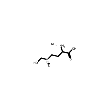 N.NC(CC[PH](=O)CO)C(=O)O